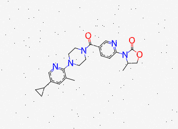 Cc1cc(C2CC2)cnc1N1CCN(C(=O)c2ccc(N3C(=O)OCC3C)nc2)CC1